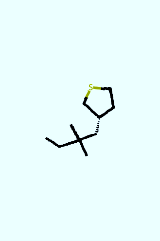 CCC(C)(C)C[C@H]1CCSC1